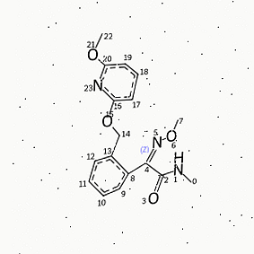 CNC(=O)/C(=N\OC)c1ccccc1COc1cccc(OC)n1